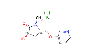 CN1C(=O)[C@H](O)C[C@H]1COc1cccnc1.Cl.Cl